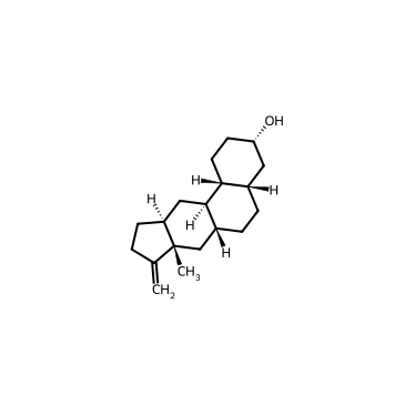 C=C1CC[C@H]2C[C@@H]3[C@H](CC[C@H]4C[C@@H](O)CC[C@H]43)C[C@]12C